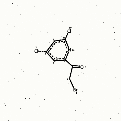 O=C(CBr)c1cc(Cl)cc(Cl)n1